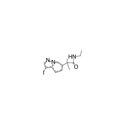 CCNC(=O)C(C)(C)c1ccc2c(I)cnn2c1